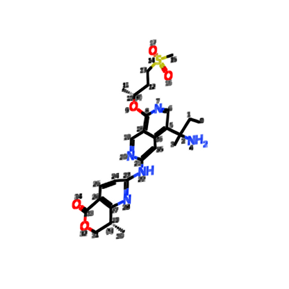 CCC(C)(N)c1cnc(O[C@H](C)CCS(C)(=O)=O)c2cnc(Nc3ccc4c(n3)[C@H](C)COC4=O)cc12